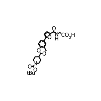 CC(C)(C)OC(=O)N1CCC(C2OCc3cc(-c4ccc(C(=O)NCC(=O)O)o4)ccc3O2)CC1